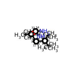 CC(C)(C)c1cccc(-c2cccc(-c3cc(C(C)(C)C)cc(C(C)(C)C)c3)c2Nc2ccccc2N)c1